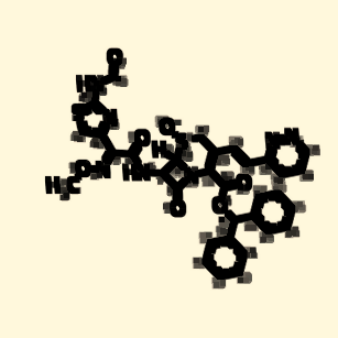 CON=C(C(=O)NC1C(=O)N2C(C(=O)OC(c3ccccc3)c3ccccc3)=C(C=Cc3cccnn3)C[S+]([O-])[C@@H]12)c1csc(NC=O)n1